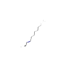 O=C/C=C/CCCCCCO